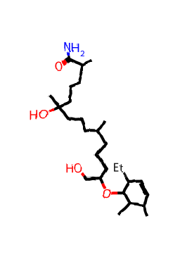 CCC1C=CC(C)C(C)C1OC(CO)CCCC(C)CCCC(C)(O)CCCC(C)C(N)=O